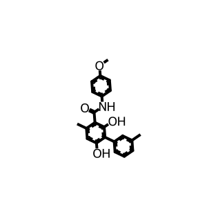 COc1ccc(NC(=O)c2c(C)cc(O)c(-c3cccc(C)c3)c2O)cc1